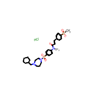 CN(C(=O)C=Cc1ccc(S(C)(=O)=O)cc1)c1ccc(S(=O)(=O)N2CCCN(CC3CCCCC3)CC2)cc1.Cl